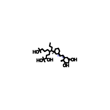 C=C1/C(=C\C=C2/CCC[C@](C)(C(CCC)C(CCCC(C)(C)O)CCC(O)C(C)(C)O)C2)C[C@@H](O)C[C@@H]1O